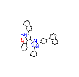 C1=C(c2nc(-c3ccccc3)nc(-c3ccc(-c4cccc5ccccc45)cc3)n2)c2c(oc3ccccc23)NC1c1ccc2ccccc2c1